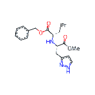 COC(=O)[C@H](Cc1cc[nH]n1)N[C@@H](CC(C)C)C(=O)OCc1ccccc1